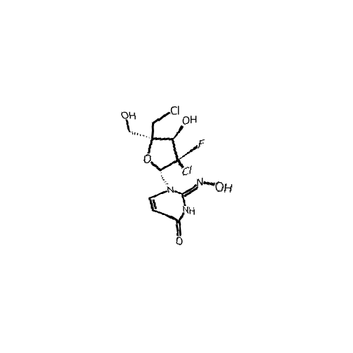 O=c1ccn([C@@H]2O[C@@](CO)(CCl)[C@@H](O)[C@]2(F)Cl)/c(=N/O)[nH]1